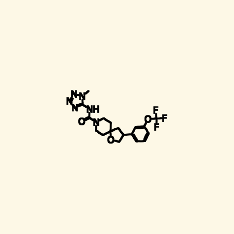 Cn1nnnc1NC(=O)N1CCC2(CC1)CC(c1cccc(OC(F)(F)F)c1)CO2